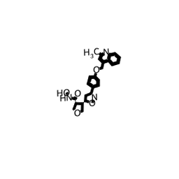 Cc1cc(COc2ccc(C3=NOC([C@@H]4COC[C@@H]4C(=O)NO)C3)cc2)c2ccccc2n1